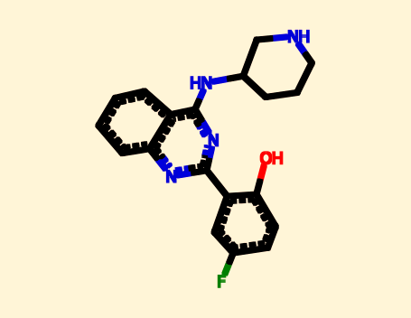 Oc1ccc(F)cc1-c1nc(NC2CCCNC2)c2ccccc2n1